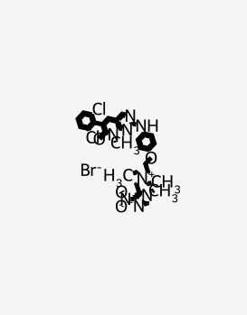 CC[N+](CC)(CCOc1ccc(Nc2ncc3cc(-c4c(Cl)cccc4Cl)c(=O)n(C)c3n2)cc1)Cc1c([N+](=O)[O-])ncn1C.[Br-]